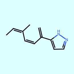 C=C(/C=C\C(C)=C/C)c1ccn[nH]1